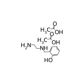 CC(=O)O.CC(=O)O.NCCNCc1ccccc1O